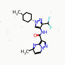 Cc1ccn2ncc(C(=O)Nc3cn([C@H]4CC[C@H](C)CC4)nc3C(F)F)c2n1